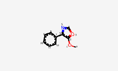 COc1ocnc1-c1ccccc1